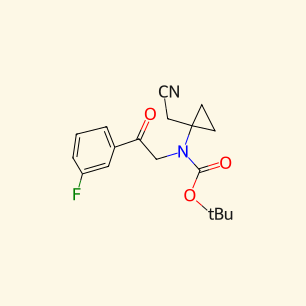 CC(C)(C)OC(=O)N(CC(=O)c1cccc(F)c1)C1(CC#N)CC1